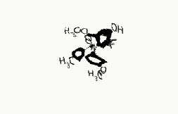 COC(=O)c1cc(O)c(F)cc1N(C(=O)[C@H]1CC[C@H](C)CC1)C1CCC(OC)CC1